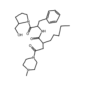 CCCCCC(CC(=O)N1CCN(C)CC1)C(=O)NC(Cc1ccccc1)C(=O)N1CCCC1CO